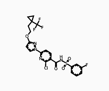 O=C(NS(=O)(=O)c1cccc(F)c1)c1ccc(-n2ccc(OCCC3(C(F)(F)F)CC3)n2)nc1Cl